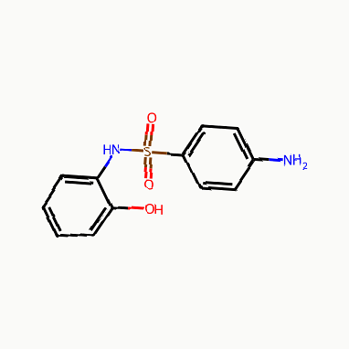 Nc1ccc(S(=O)(=O)Nc2ccccc2O)cc1